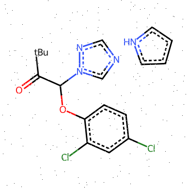 CC(C)(C)C(=O)C(Oc1ccc(Cl)cc1Cl)n1cncn1.c1cc[nH]c1